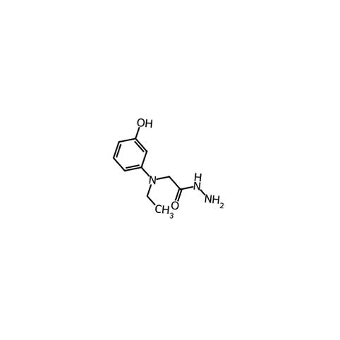 CCN(CC(=O)NN)c1cccc(O)c1